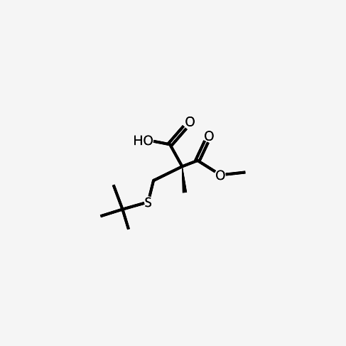 COC(=O)[C@](C)(CSC(C)(C)C)C(=O)O